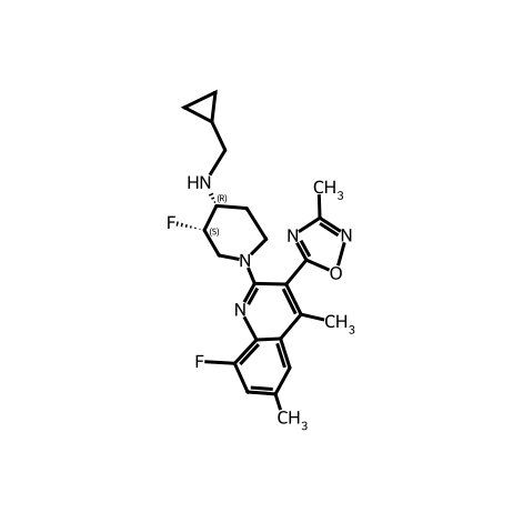 Cc1cc(F)c2nc(N3CC[C@@H](NCC4CC4)[C@@H](F)C3)c(-c3nc(C)no3)c(C)c2c1